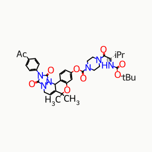 CC(=O)c1ccc(-n2c(=O)n3n(c2=O)C2C(=CC3)C(C)(C)Oc3cc(OC(=O)N4CCN(C(=O)[C@@H](NC(=O)OC(C)(C)C)C(C)C)CC4)ccc32)cc1